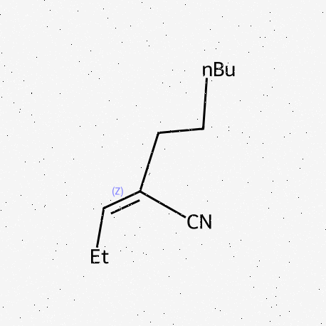 CC/C=C(\C#N)CCCCCC